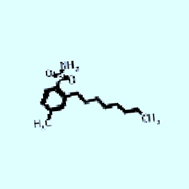 CCCCCCCCc1cc(C)ccc1S(N)(=O)=O